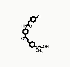 CN(CCO)c1ccc(/C=C/C(=O)c2ccc(NC(=O)Cc3ccc(Cl)cc3)cc2)cc1